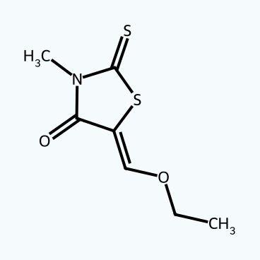 CCO/C=C1\SC(=S)N(C)C1=O